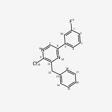 Fc1cccc(-c2cnc(Cl)c(Cc3ccccc3)n2)c1